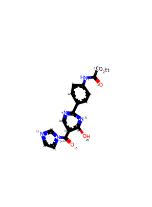 CCOC(=O)C(=O)Nc1ccc(-c2ncc(C(=O)n3ccnc3)c(O)n2)cc1